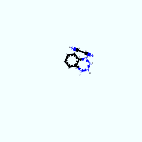 N#CC#N.c1ccc2nnnnc2c1